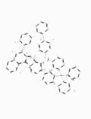 c1ccc(-c2ccc(N(c3ccc4c(c3)C3(c5ccccc5-c5ccccc53)c3ccccc3-4)c3cccc4c3oc3c(-c5ccccc5)cc5ccccc5c34)cc2)cc1